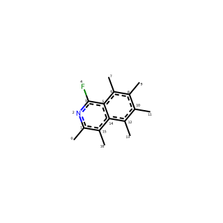 Cc1nc(F)c2c(C)c(C)c(C)c(C)c2c1C